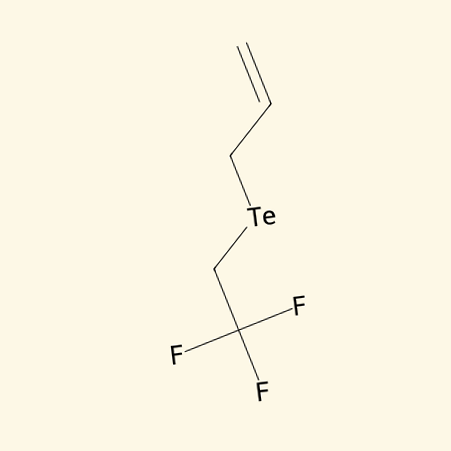 C=CC[Te]CC(F)(F)F